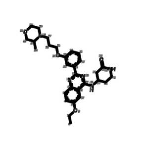 CCOc1ccc2nc(-c3cccc(OCCCN4CCOCC4C)c3)nc(NC3CCNC(=O)C3)c2c1